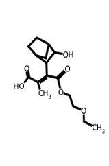 CCOCCOC(=O)C(=C(C)C(=O)O)C1C2CCC(C2)C1O